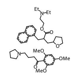 CCN(CC)CCOC(=O)C(Cc1cccc2ccccc12)CC1CCCO1.COc1cc(OC)c(C(=O)CCCN2CCCC2)c(OC)c1